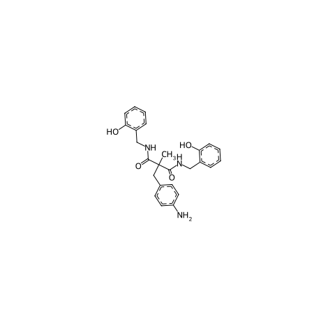 CC(Cc1ccc(N)cc1)(C(=O)NCc1ccccc1O)C(=O)NCc1ccccc1O